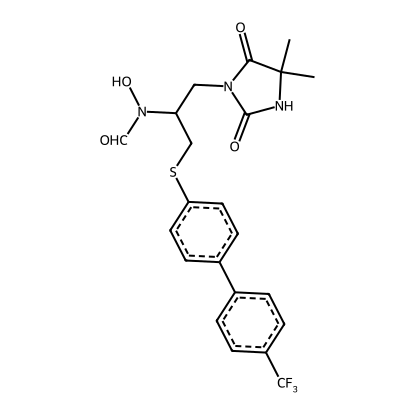 CC1(C)NC(=O)N(CC(CSc2ccc(-c3ccc(C(F)(F)F)cc3)cc2)N(O)C=O)C1=O